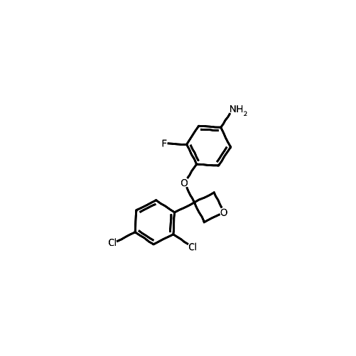 Nc1ccc(OC2(c3ccc(Cl)cc3Cl)COC2)c(F)c1